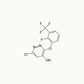 Oc1cc(Cl)nnc1Oc1cccc(C(F)(F)F)c1F